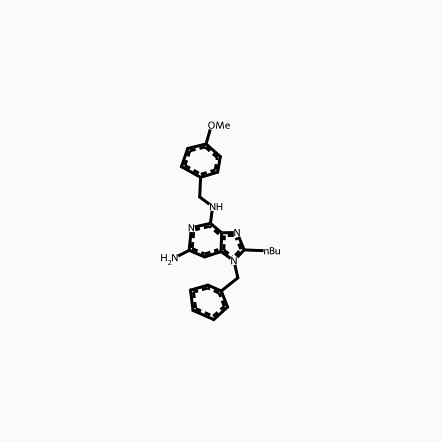 CCCCc1nc2c(NCc3ccc(OC)cc3)nc(N)cc2n1Cc1ccccc1